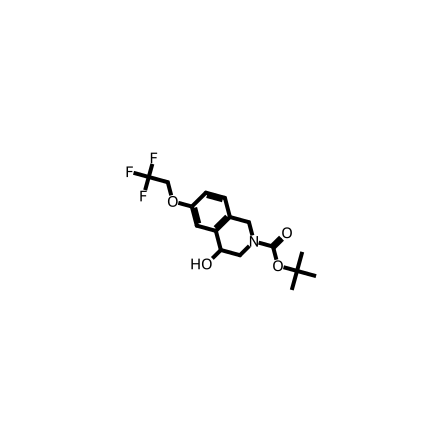 CC(C)(C)OC(=O)N1Cc2ccc(OCC(F)(F)F)cc2C(O)C1